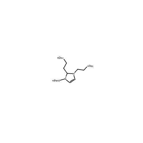 CCCCCCCCCCCCC1N(CCCCC)C=CN1CCCCCCCCCCCC